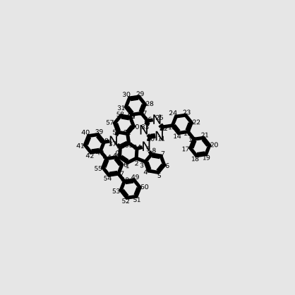 C1=CC2c3ccccc3N(c3nc(C4=CC(c5ccccc5)=CCC4)nc(-c4ccccc4)n3)C2c2c1n(-c1ccccc1-c1ccc(-c3ccccc3)cc1)c1ccccc21